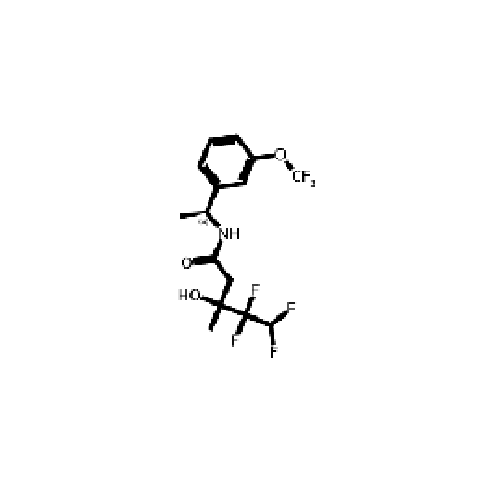 C[C@H](NC(=O)CC(C)(O)C(F)(F)C(F)F)c1cccc(OC(F)(F)F)c1